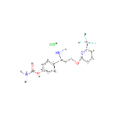 CNC(CCOc1cccc(C(F)(F)F)n1)c1ccc(OC(=O)N(C)C)cc1.Cl